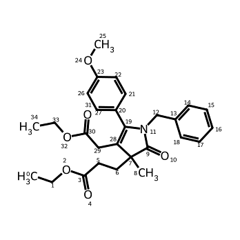 CCOC(=O)CCC1(C)C(=O)N(Cc2ccccc2)C(c2ccc(OC)cc2)=C1CC(=O)OCC